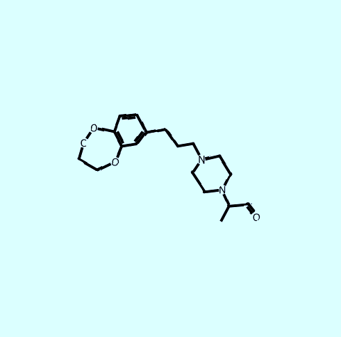 CC([C]=O)N1CCN(CCCc2ccc3c(c2)OCCCO3)CC1